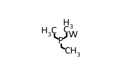 CCP(CC)CC.[W]